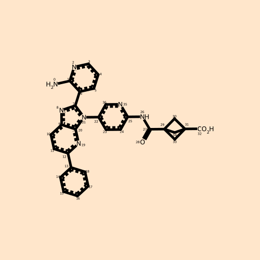 Nc1ncccc1-c1nc2ccc(-c3ccccc3)nc2n1-c1ccc(NC(=O)C23CC(C(=O)O)(C2)C3)nc1